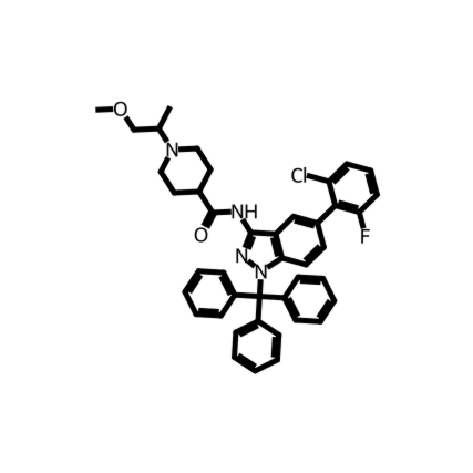 COCC(C)N1CCC(C(=O)Nc2nn(C(c3ccccc3)(c3ccccc3)c3ccccc3)c3ccc(-c4c(F)cccc4Cl)cc23)CC1